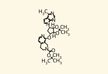 Cc1ncnc2c1ccn2[C@@H]1C[C@H](Oc2nccc3c2CN(C(=O)OC(C)(C)C)CC3)[C@H]2OC(C)(C)O[C@H]21